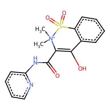 C[N+]1(C)C(C(=O)Nc2ccccn2)=C(O)c2ccccc2S1(=O)=O